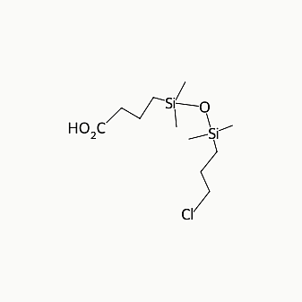 C[Si](C)(CCCCl)O[Si](C)(C)CCCC(=O)O